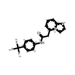 O=C(Cc1cccc2nccn12)Nc1ccc(C(F)(F)F)cc1